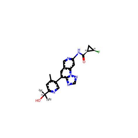 [2H][C@](O)(CCC)c1cc(C)c(-c2cc3cnc(NC(=O)[C@H]4C[C@H]4F)cc3n3ncnc23)cn1